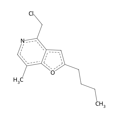 CCCCc1cc2c(CCl)ncc(C)c2o1